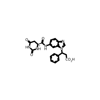 O=C(O)CC(c1ccccc1)n1cnc2ccc(NC(=O)[C@@H]3CC(=O)NC(=O)N3)cc21